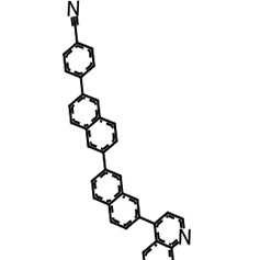 N#Cc1ccc(-c2ccc3cc(-c4ccc5ccc(-c6ccnc7ccccc67)cc5c4)ccc3c2)cc1